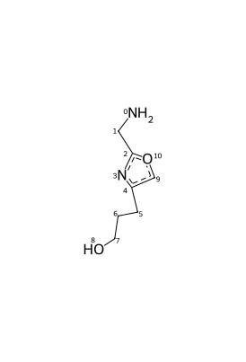 NCc1nc(CCCO)co1